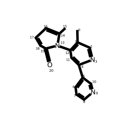 Cc1cnc(-c2cccnc2)cc1-n1c(C)cccc1=O